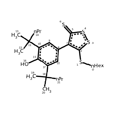 CCCCCCSc1ssc(=S)c1-c1cc(C(C)(C)CCC)c(O)c(C(C)(C)CCC)c1